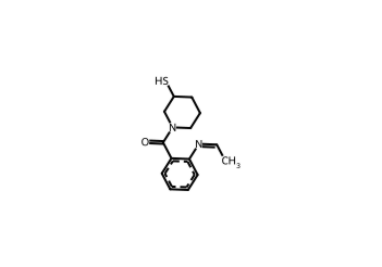 C/C=N\c1ccccc1C(=O)N1CCCC(S)C1